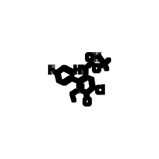 CCn1c(-c2ccc(F)cc2)c(NC(O)OC(C)(C)C)cc(Cl)c1=O